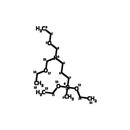 CCOCN(CCC[Si](C)(OCC)OCC)COCC